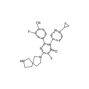 N#Cc1ccc(-c2nc(N3CCC4(CCNC4)C3)c(F)c(=O)n2-c2ccc(C3CC3)nc2)cc1F